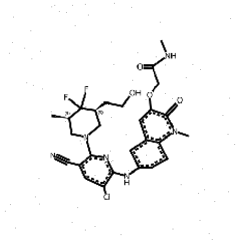 CNC(=O)COc1cc2cc(Nc3nc(N4C[C@H](CCO)C(F)(F)[C@H](C)C4)c(C#N)cc3Cl)ccc2n(C)c1=O